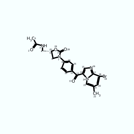 CC(=O)NC[C@H]1CN(c2ccc(C(=O)c3cnc4c(Br)cc(C)cn34)cc2)C(=O)O1